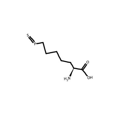 N[C@@H](CCCCCP=S)C(=O)O